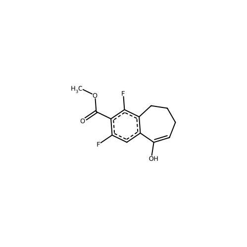 COC(=O)c1c(F)cc2c(c1F)CCCC=C2O